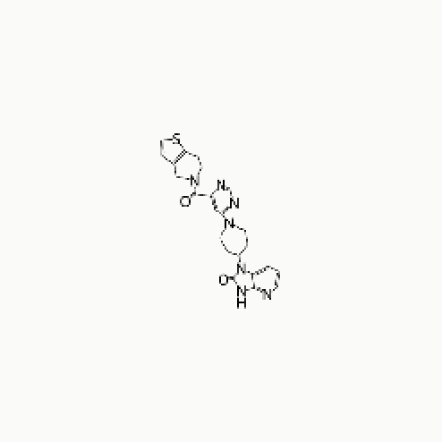 O=C(c1cc(N2CCC(n3c(=O)[nH]c4ncccc43)CC2)ncn1)N1CCc2sccc2C1